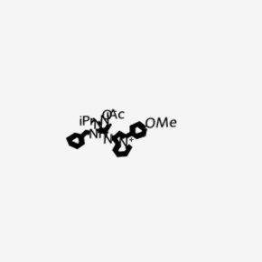 CC(=O)[O-].COc1ccc(C2=C/C(=N\c3cnn(C(C)C)c3NCc3ccccc3)c3cccc[n+]32)cc1